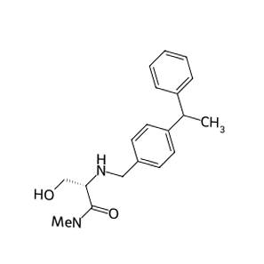 CNC(=O)[C@H](CO)NCc1ccc(C(C)c2ccccc2)cc1